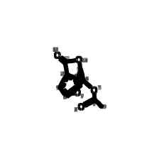 CC(=O)Oc1c2c3oc1cc3C(=O)O2